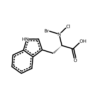 O=C(O)[C@H](Cc1c[nH]c2ccccc12)N(Cl)Br